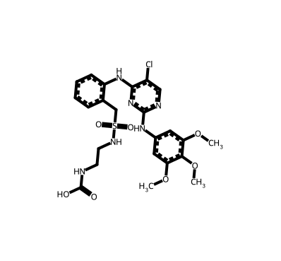 COc1cc(Nc2ncc(Cl)c(Nc3ccccc3CS(=O)(=O)NCCNC(=O)O)n2)cc(OC)c1OC